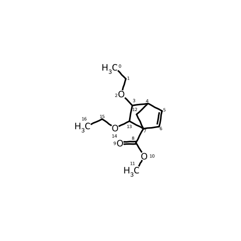 CCOC1C2C=CC(C(=O)OC)(C2)C1OCC